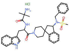 CC(C)(N)C(=O)NC(Cc1c[nH]c2ccccc12)C(=O)N1CCC2(CC1)C[C@@H](N(Cc1ccccc1)S(C)(=O)=O)c1ccccc12.Cl